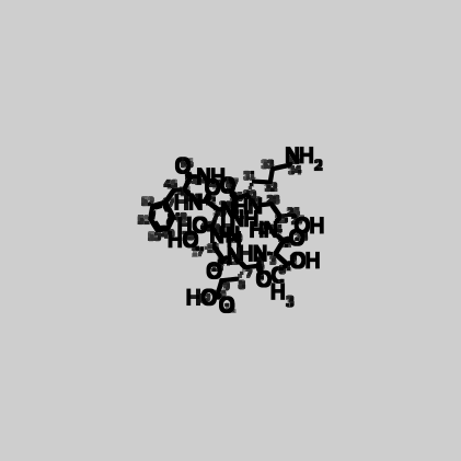 CC(O)[C@H](NC(=O)[C@H](CCC(=O)O)NC(=O)[C@H](CO)N=NN)C(=O)N[C@@H](CO)CN[C@@H](CCCCN)C(=O)N[C@@H](CO)C(=O)N[C@@H](Cc1ccccc1)C(N)=O